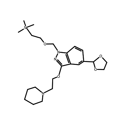 C[Si](C)(C)CCOCn1nc(OCCN2CCCCC2)c2cc(C3OCCO3)ccc21